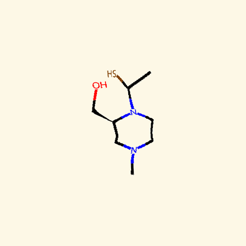 CC(S)N1CCN(C)C[C@H]1CO